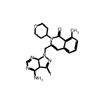 Cc1cccc2cc(CN3N=C(I)C4C(N)=NC=NC43)n(C3CCOCC3)c(=O)c12